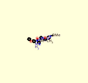 COCCN1CCN(C(C)(C)/C=C(/C#N)C(=O)N2CCC[C@@H](n3c(=O)n(-c4ccc(Oc5ccccc5)cc4)c4c(N)nccc43)C2)CC1